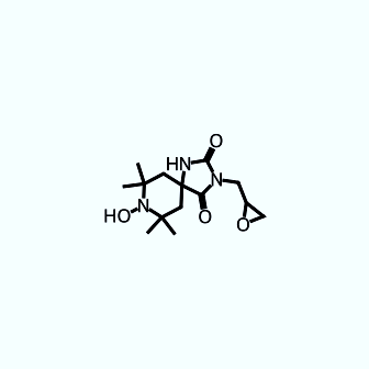 CC1(C)CC2(CC(C)(C)N1O)NC(=O)N(CC1CO1)C2=O